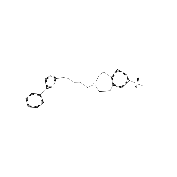 CS(=O)(=O)c1ccc2c(c1)CCN(CCCSc1nc(-c3ccccc3)cs1)CC2